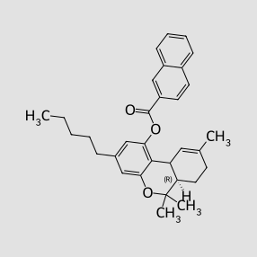 CCCCCc1cc(OC(=O)c2ccc3ccccc3c2)c2c(c1)OC(C)(C)[C@@H]1CCC(C)=CC21